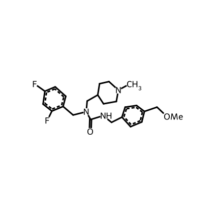 COCc1ccc(CNC(=O)N(Cc2ccc(F)cc2F)CC2CCN(C)CC2)cc1